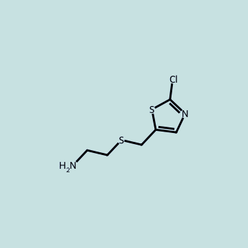 NCCSCc1cnc(Cl)s1